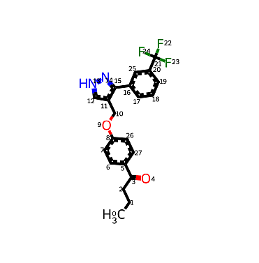 CCCC(=O)c1ccc(OCc2c[nH]nc2-c2cccc(C(F)(F)F)c2)cc1